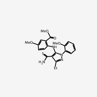 CCc1nn(-c2ccccc2OC)c(Nc2ccc(OC)cc2C(=O)OC)c1C(N)=S